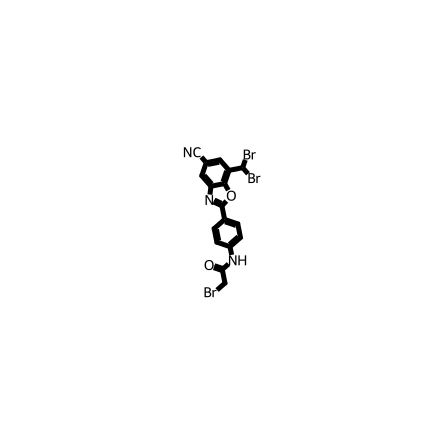 N#Cc1cc(C(Br)Br)c2oc(-c3ccc(NC(=O)CBr)cc3)nc2c1